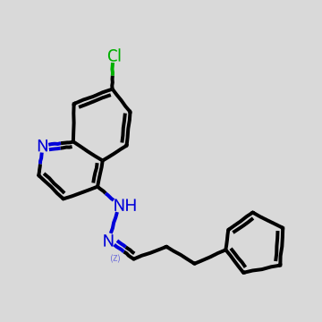 Clc1ccc2c(N/N=C\CCc3ccccc3)ccnc2c1